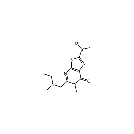 CCN(C)Cc1nc2sc([S+](C)[O-])nc2c(=O)n1C